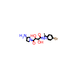 C[C@H](NC(=O)[C@H](O)C(O)C(=O)N1CC[C@H](N)C1)c1ccc(Br)cc1